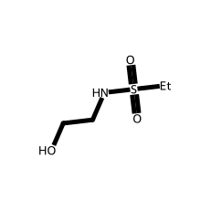 [CH2]CS(=O)(=O)NCCO